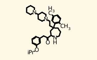 Cc1ccc(C)c(C2(CCN3CCC(N4CCCCC4)CC3)CCCNC(C(=O)Cc3cccc(OC(C)C)c3)C2)c1